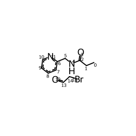 CCC(=O)NCc1ccccn1.O=CCBr